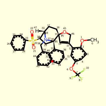 COc1ccc(OC(F)(F)F)cc1C1=C[C@@]2(CC[C@H]3[C@H](S(=O)(=O)c4ccccc4)C[C@]2(c2ccccc2)N3Cc2ccccc2)OC1